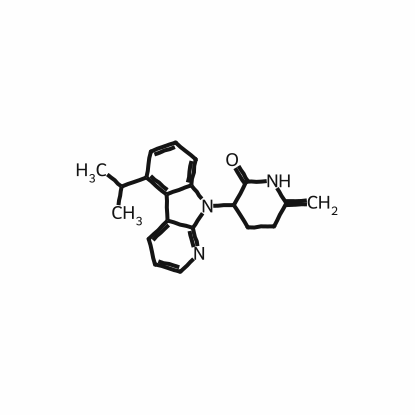 C=C1CCC(n2c3cccc(C(C)C)c3c3cccnc32)C(=O)N1